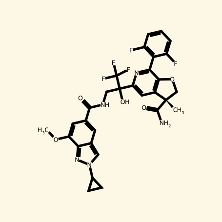 COc1cc(C(=O)NCC(O)(c2cc3c(c(-c4c(F)cccc4F)n2)OC[C@]3(C)C(N)=O)C(F)(F)F)cc2cn(C3CC3)nc12